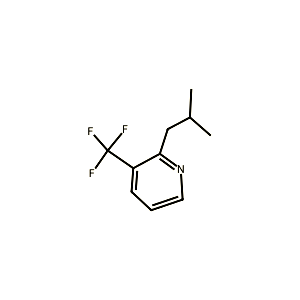 CC(C)Cc1ncccc1C(F)(F)F